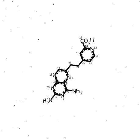 Nc1nc(N)c2nc(CCc3ccnc(C(=O)O)c3)cnc2n1